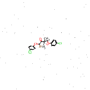 CC(C)(COc1ccc(Cl)cc1)C(=O)C(Br)Oc1ccc(Cl)cc1